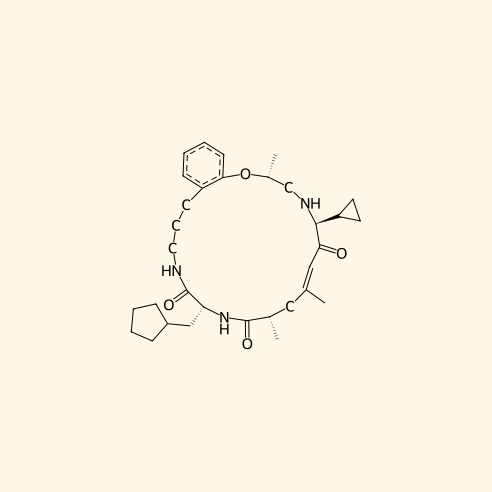 C/C1=C\C(=O)[C@H](C2CC2)NC[C@@H](C)Oc2ccccc2CCCNC(=O)[C@@H](CC2CCCC2)NC(=O)[C@@H](C)C1